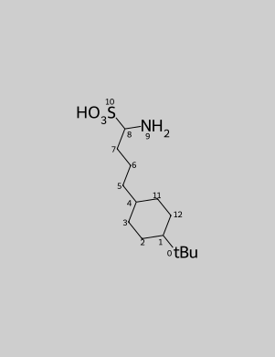 CC(C)(C)C1CCC(CCCC(N)S(=O)(=O)O)CC1